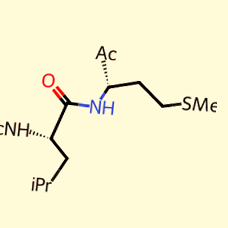 CSCC[C@H](NC(=O)[C@H](CC(C)C)NC(C)=O)C(C)=O